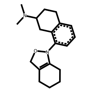 CN(C)C1CCc2cccc(N3OCC4=C3CCCC4)c2C1